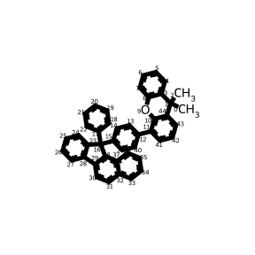 CC1(C)c2ccccc2Oc2c(-c3ccc(C4(c5ccccc5)c5ccccc5-c5ccc6ccccc6c54)cc3)cccc21